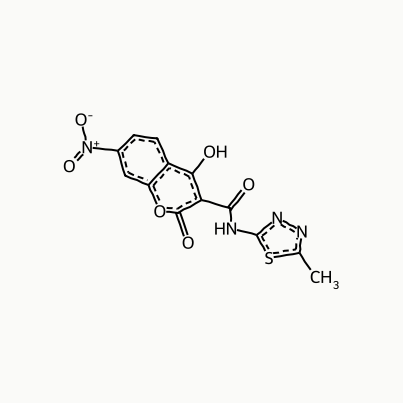 Cc1nnc(NC(=O)c2c(O)c3ccc([N+](=O)[O-])cc3oc2=O)s1